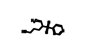 C=CC(CCCO)S(=O)(=O)c1ccncn1